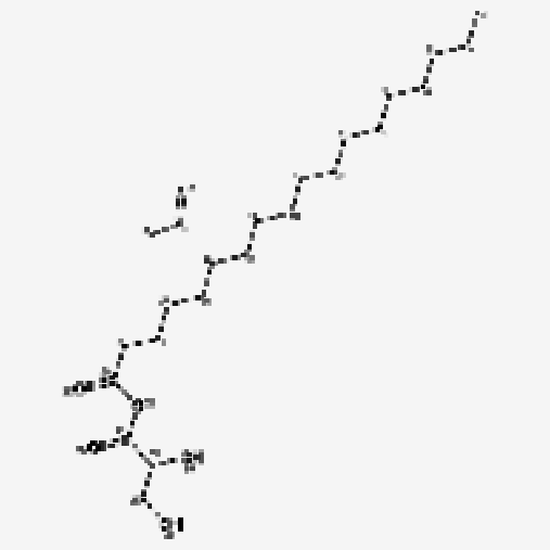 C=CC.CCCCCCCCCCCCCCCCCC(=O)OC(=O)C(O)CO